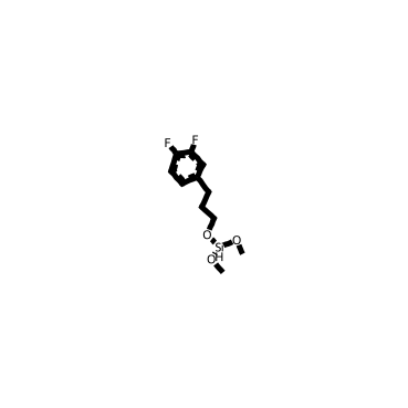 CO[SiH](OC)OCCCc1ccc(F)c(F)c1